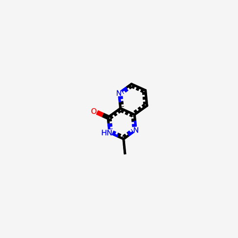 Cc1nc2cccnc2c(=O)[nH]1